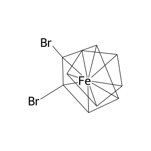 Br[C]12[CH]3[CH]4[CH]5[C]1(Br)[Fe]43521678[CH]2[CH]1[CH]6[CH]7[CH]28